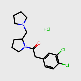 Cl.O=C(Cc1ccc(Cl)c(Cl)c1)N1CCCC1CN1CCCC1